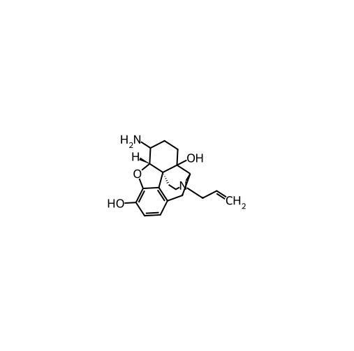 C=CCN1CC[C@]23c4c5ccc(O)c4O[C@@H]2C(N)CCC3(O)C1C5